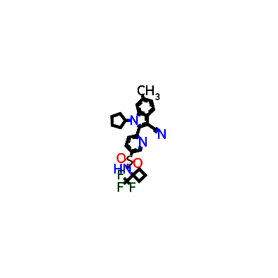 Cc1ccc2c(C#N)c(-c3ccc(S(=O)(=O)NC4(C(F)(F)F)CCC4)cn3)n(C3CCCC3)c2c1